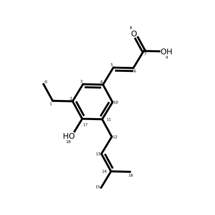 CCc1cc(/C=C/C(=O)O)cc(CC=C(C)C)c1O